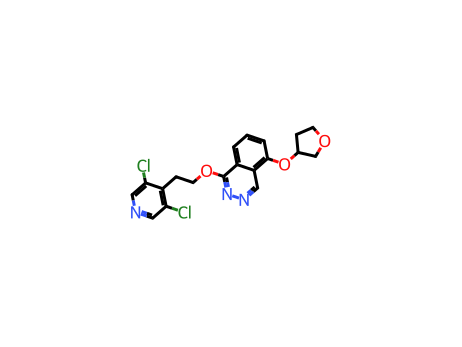 Clc1cncc(Cl)c1CCOc1nncc2c(OC3CCOC3)cccc12